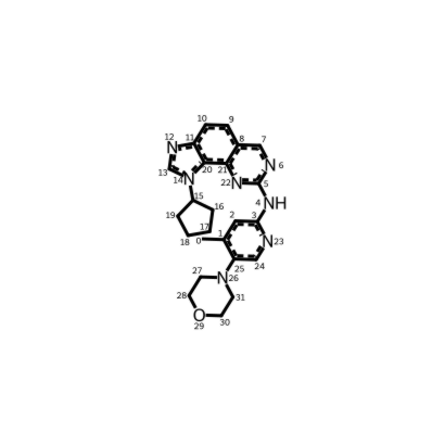 Cc1cc(Nc2ncc3ccc4ncn(C5CCCC5)c4c3n2)ncc1N1CCOCC1